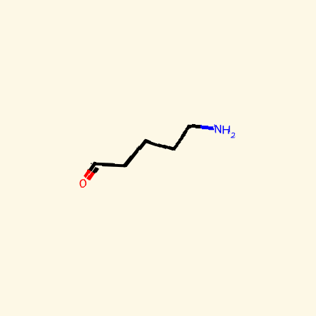 NCCCC[C]=O